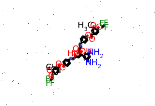 COc1cc(C(=O)Oc2ccc(/C=C/C(=O)CC(c3cc(N)cc(N)c3)C(O)(O)C(=O)/C=C/c3ccc(OC(=O)c4ccc(OCC(F)(F)F)c(OC)c4)cc3)cc2)ccc1OCC(F)(F)F